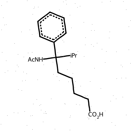 CC(=O)NC(CCCCC(=O)O)(c1ccccc1)C(C)C